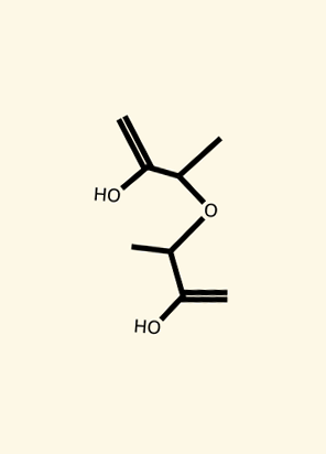 C=C(O)C(C)OC(C)C(=C)O